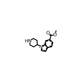 COC(=O)c1ccc2ccn(C3CCNCC3)c2c1